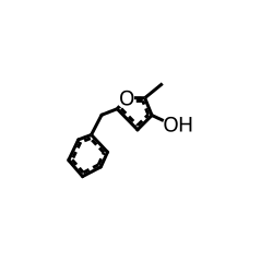 Cc1oc(Cc2ccccc2)cc1O